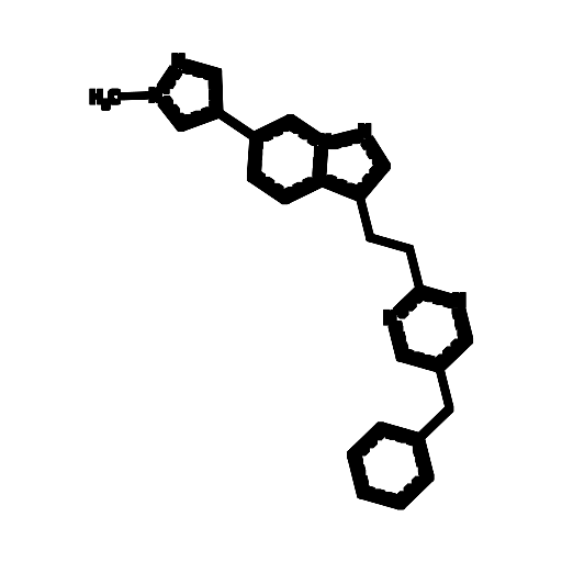 Cn1cc(-c2ccc3c(CCc4ncc(Cc5ccccc5)cn4)cnn3c2)cn1